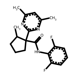 Cc1cc(C)nc(C2(C(=O)Nc3c(F)cccc3F)CCCC2C)n1